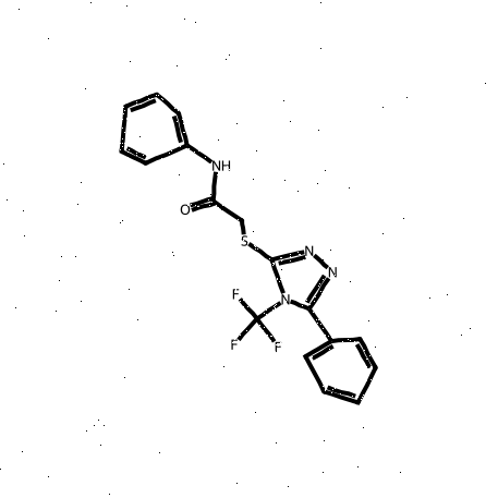 O=C(CSc1nnc(-c2ccccc2)n1C(F)(F)F)Nc1ccccc1